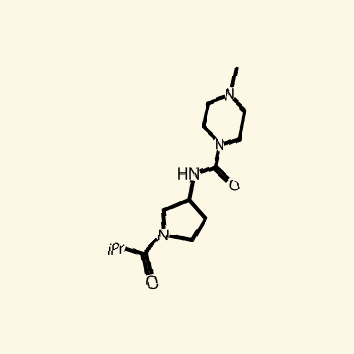 CC(C)C(=O)N1CCC(NC(=O)N2CCN(C)CC2)C1